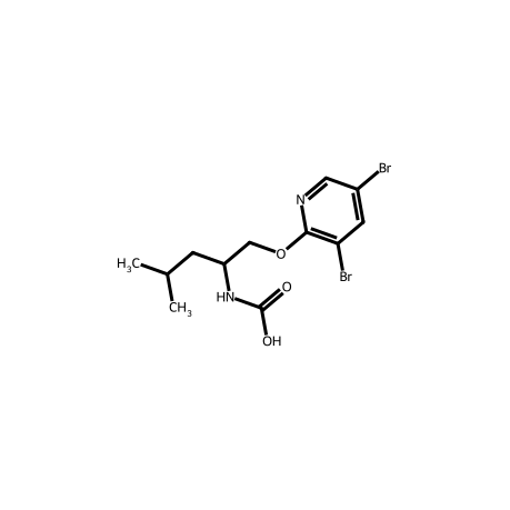 CC(C)CC(COc1ncc(Br)cc1Br)NC(=O)O